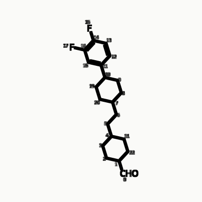 O=CC1CCC(CCC2CCC(c3ccc(F)c(F)c3)CC2)CC1